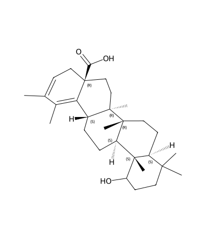 CC1=CC[C@]2(C(=O)O)CC[C@]3(C)[C@H](CC[C@@H]4[C@@]5(C)C(O)CCC(C)(C)[C@@H]5CC[C@]43C)C2=C1C